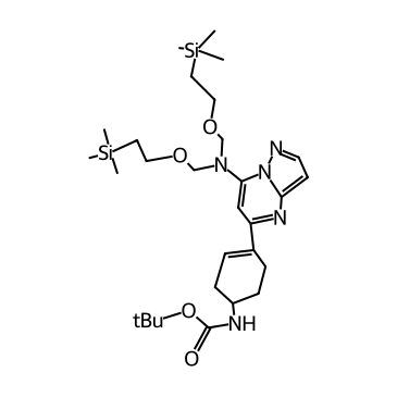 CC(C)(C)OC(=O)NC1CC=C(c2cc(N(COCC[Si](C)(C)C)COCC[Si](C)(C)C)n3nccc3n2)CC1